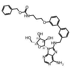 Nc1ncnc2c1nc(NCc1cccc(-c3cccc(OCCCNC(=O)OCc4ccccc4)c3)c1)n2[C@@H]1O[C@H](CO)[C@@H](O)[C@H]1O